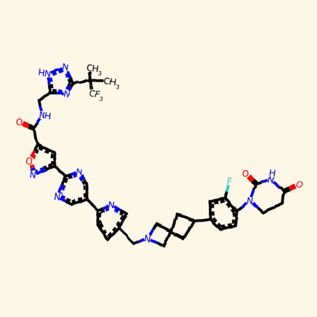 CC(C)(c1n[nH]c(CNC(=O)c2cc(-c3ncc(-c4ccc(CN5CC6(CC(c7ccc(N8CCC(=O)NC8=O)c(F)c7)C6)C5)cn4)cn3)no2)n1)C(F)(F)F